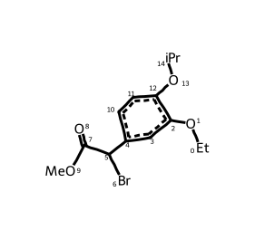 CCOc1cc(C(Br)C(=O)OC)ccc1OC(C)C